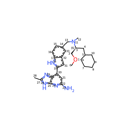 COC[C@H](CC1CCCCC1)N(C)Cc1ccc2[nH]c(-c3cc(N)nc4[nH]c(C)nc34)cc2c1